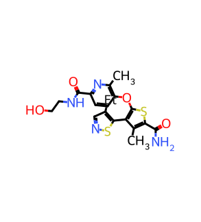 CCc1cnsc1-c1c(Oc2ccc(C(=O)NCCO)nc2C)sc(C(N)=O)c1C